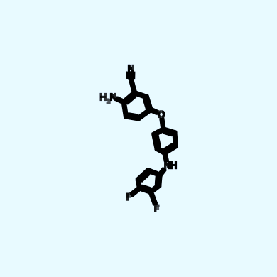 N#Cc1cc(Oc2ccc(Nc3ccc(F)c(F)c3)cc2)ccc1N